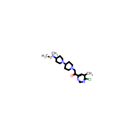 CSN(C)C1CCN(C2CCN(CC(=O)C3=CC(C)C(Cl)=NC=N3)CC2)CC1